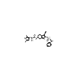 C#Cc1c(NC(=O)CC(C)c2ccccc2)sc2c1CCC(OC(=O)NCc1cn(C)nc1C)C2